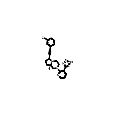 Clc1cccc(C#CC2CC[C@H]3CN(c4ncccc4-c4nn[nH]n4)CCN23)c1